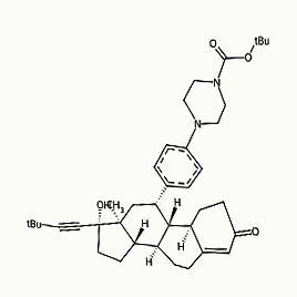 CC(C)(C)C#C[C@]1(O)CC[C@H]2[C@@H]3CCC4=CC(=O)CC[C@@H]4[C@H]3[C@@H](c3ccc(N4CCN(C(=O)OC(C)(C)C)CC4)cc3)C[C@@]21C